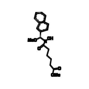 COC(=O)CCCCC(=O)N(O)C(OC)c1ccc2ccccc2c1